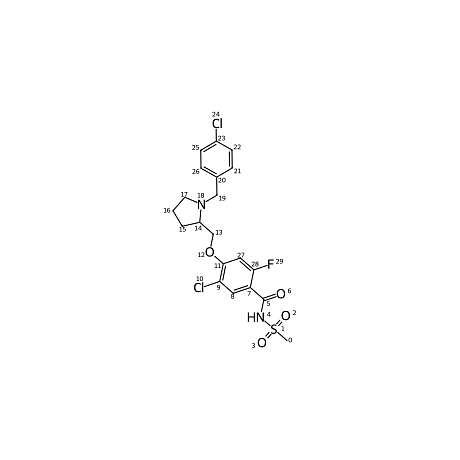 CS(=O)(=O)NC(=O)c1cc(Cl)c(OCC2CCCN2Cc2ccc(Cl)cc2)cc1F